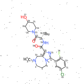 CN1CCCn2c(-c3cc(Cl)ccc3F)nc(C(=O)N[C@H](C(=O)N3CCC(O)CC3)C(C)(C)C)c2C1